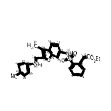 CCOC(=O)Cc1ccccc1S(=O)(=O)Nc1ccc2c(C)c(CNc3ccc(C#N)cc3)oc2c1